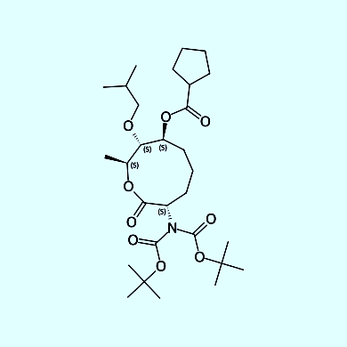 CC(C)CO[C@H]1[C@H](C)OC(=O)[C@@H](N(C(=O)OC(C)(C)C)C(=O)OC(C)(C)C)CCC[C@@H]1OC(=O)C1CCCC1